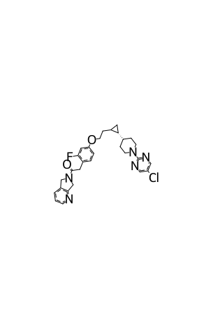 O=C(Cc1ccc(OCCC2C[C@@H]2C2CCN(c3ncc(Cl)cn3)CC2)cc1F)N1Cc2cccnc2C1